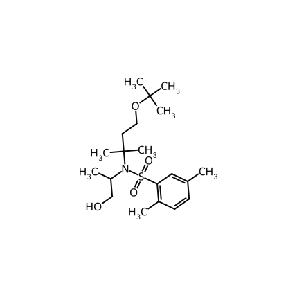 Cc1ccc(C)c(S(=O)(=O)N(C(C)CO)C(C)(C)CCOC(C)(C)C)c1